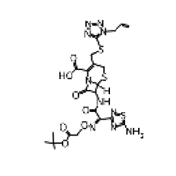 C=CCn1nnnc1SCC1=C(C(=O)O)N2C(=O)C(NC(=O)/C(=N\OCC(=O)OC(C)(C)C)c3nsc(N)n3)[C@H]2SC1